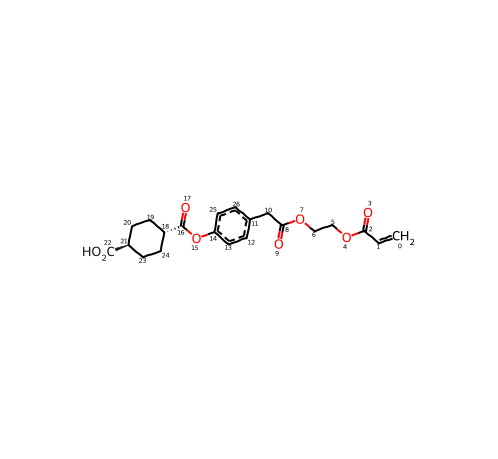 C=CC(=O)OCCOC(=O)Cc1ccc(OC(=O)[C@H]2CC[C@H](C(=O)O)CC2)cc1